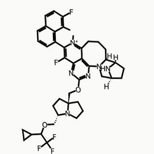 Cc1c(F)ccc2cccc(-c3c(F)c4nc(OC[C@@]56CCCN5[C@H](COC(C5CC5)C(F)(F)F)CC6)nc5c4c([n+]3C)CCC[C@@H]3[C@H]4CC[C@@H](CN53)N4)c12